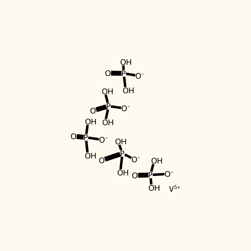 O=P([O-])(O)O.O=P([O-])(O)O.O=P([O-])(O)O.O=P([O-])(O)O.O=P([O-])(O)O.[V+5]